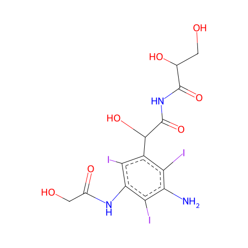 Nc1c(I)c(NC(=O)CO)c(I)c(C(O)C(=O)NC(=O)C(O)CO)c1I